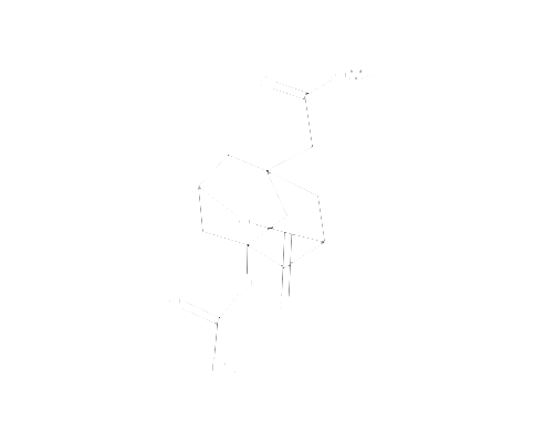 COC(=O)CC12CC3CC(OC(=O)C(C)(C)C)(CC(C1)C(=O)O3)C2